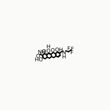 NC(=O)C1=C(O)CC2CC3Cc4ccc(CNCCC(F)(F)F)c(O)c4C(=O)C3=C(O)C2C1=O